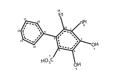 CCCc1c(O)c(O)c(C(=O)O)c(-c2ccccc2)c1CC